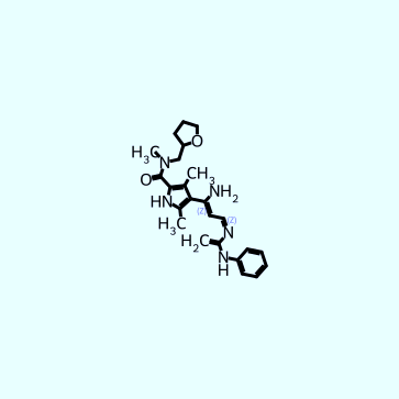 C=C(/N=C\C=C(/N)c1c(C)[nH]c(C(=O)N(C)CC2CCCO2)c1C)Nc1ccccc1